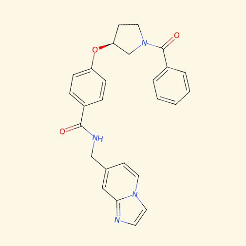 O=C(NCc1ccn2ccnc2c1)c1ccc(O[C@H]2CCN(C(=O)c3ccccc3)C2)cc1